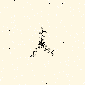 CC(C)CCCCOP(=O)(OCCCCC(C)C)OCCCCC(C)C